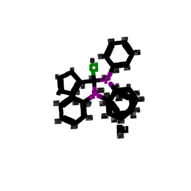 ClC(C1=CC=CC1)(P(c1ccccc1)c1ccccc1)P(c1ccccc1)c1ccccc1.[Ru]